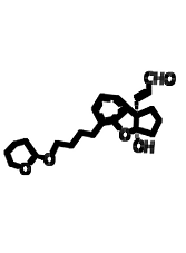 O=CC=C[C@]12CCC[C@@]1(O)Oc1c(CCCCO[C@@H]3CCCCO3)cccc12